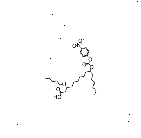 CCCCCCC(CCCCCCC(CC(=O)O)OCCCCC)OC(=O)Oc1ccc([N+](=O)[O-])cc1